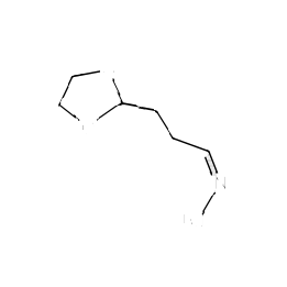 CC(C)(C)/N=C\CCC1OCCO1